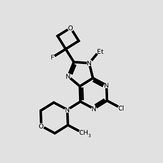 CCn1c(C2(F)COC2)nc2c(N3CCOCC3C)nc(Cl)nc21